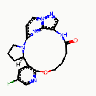 O=C1CCCOc2ncc(F)cc2[C@H]2CCCN2c2ccn3ncc(c3n2)N1